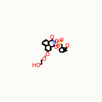 CC1(C)C2CCC1(CS(=O)(=O)ON1C(=O)c3cccc4cc(OCOCCO)cc(c34)C1=O)C(=O)C2